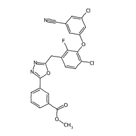 COC(=O)c1cccc(-c2nnc(Cc3ccc(Cl)c(Oc4cc(Cl)cc(C#N)c4)c3F)o2)c1